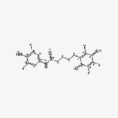 CC1=C(C)C(=O)C(CCCCC(=O)Nc2cc(C)c(O)c(C)c2)=C(C)C1=O